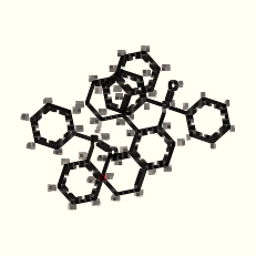 O=P(c1ccccc1)(c1ccccc1)c1ccc2c(c1C1=c3ccccc3=CC[C@H]1P(=O)(c1ccccc1)c1ccccc1)=CCCC=2